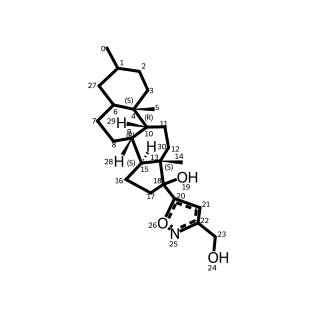 CC1CC[C@@]2(C)C(CC[C@@H]3[C@H]2CC[C@@]2(C)[C@H]3CCC2(O)c2cc(CO)no2)C1